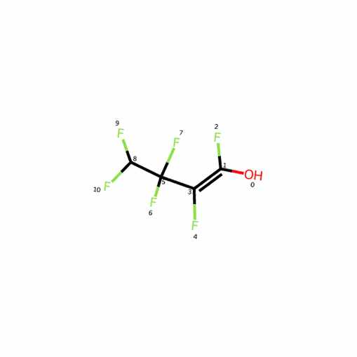 O/C(F)=C(\F)C(F)(F)C(F)F